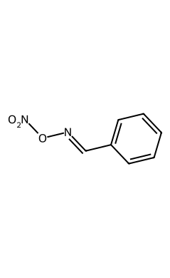 O=[N+]([O-])ON=Cc1ccccc1